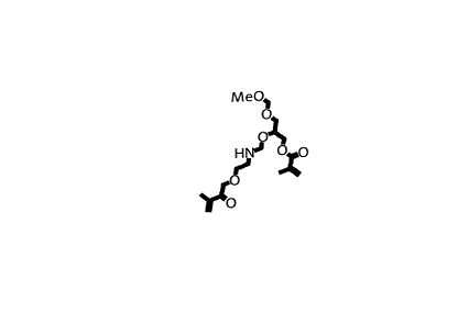 C=C(C)C(=O)COCCNCOC(COCOC)COC(=O)C(=C)C